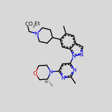 CCOC(=O)CN1CCC(c2cc3c(cnn3-c3cc(N4CCOC[C@H]4C)nc(C)n3)cc2C)CC1